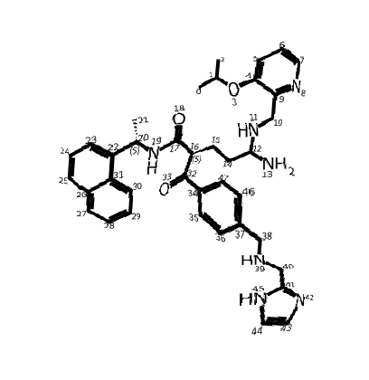 CC(C)Oc1cccnc1CNC(N)CC[C@H](C(=O)N[C@@H](C)c1cccc2ccccc12)C(=O)c1ccc(CNCc2ncc[nH]2)cc1